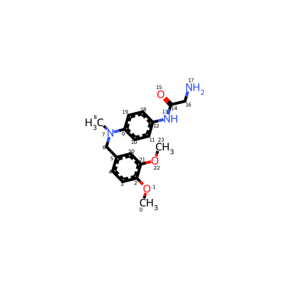 COc1ccc(CN(C)c2ccc(NC(=O)CN)cc2)cc1OC